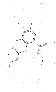 CCOC(=O)Oc1c(C)cc(C)cc1C(=O)OCC